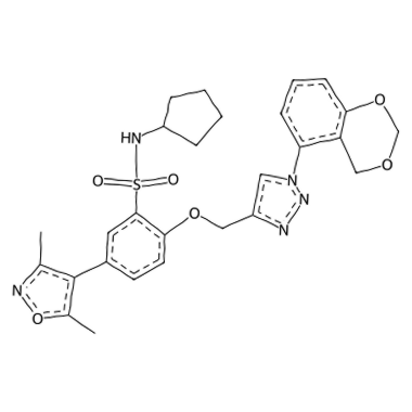 Cc1noc(C)c1-c1ccc(OCc2cn(-c3cccc4c3COCO4)nn2)c(S(=O)(=O)NC2CCCC2)c1